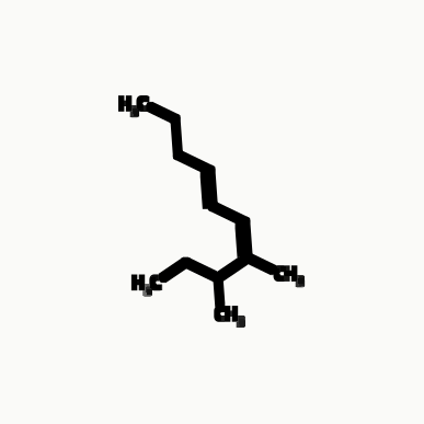 CCCC=CC=C(C)C(C)CC